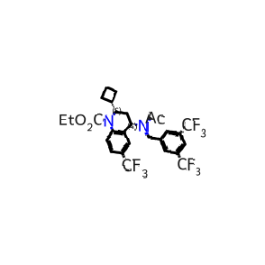 CCOC(=O)N1c2ccc(C(F)(F)F)cc2[C@@H](N(Cc2cc(C(F)(F)F)cc(C(F)(F)F)c2)C(C)=O)C[C@H]1C1CCC1